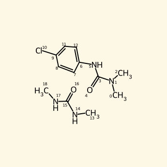 CN(C)C(=O)Nc1ccc(Cl)cc1.CNC(=O)NC